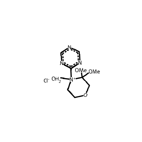 COC1(OC)COCC[N+]1(C)c1ncncn1.O.[Cl-]